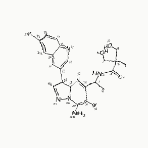 CC(NC(=O)C(C)(CO)CO)C1=NC2C(c3cnc4ccc(F)cc4c3)C=NN2C(N)=C1Br